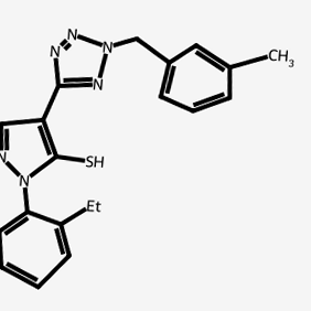 CCc1ccccc1-n1ncc(-c2nnn(Cc3cccc(C)c3)n2)c1S